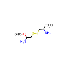 CCOC(=O)C(N)CSSCC(N)OC=O